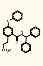 O=C(O)CCc1ccc(Oc2ccccc2)cc1C(=O)NC(c1ccccc1)c1ccccc1